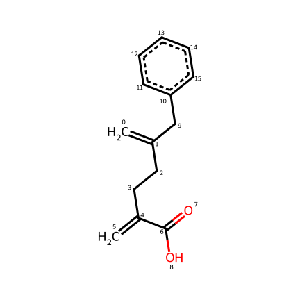 C=C(CCC(=C)C(=O)O)Cc1ccccc1